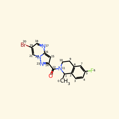 CC1c2ccc(F)cc2CCN1C(=O)c1cc2ncc(Br)cn2n1